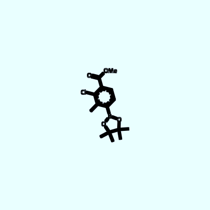 COC(=O)c1ccc(B2OC(C)(C)C(C)(C)O2)c(C)c1Cl